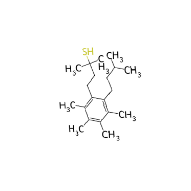 Cc1c(C)c(C)c(CCC(C)(C)S)c(CCC(C)C)c1C